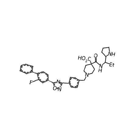 CCC(NC(=O)C1(C(=O)O)CCN(Cc2ccc(-c3noc(-c4ccc(-c5ccccc5)c(F)c4)n3)cc2)CC1)C1CCCN1